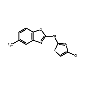 FC(F)(F)c1ccc2oc(Nc3nc(Cl)cs3)nc2c1